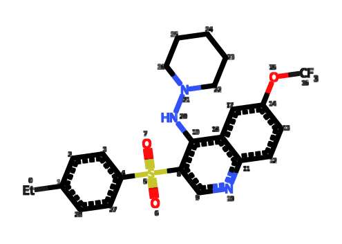 CCc1ccc(S(=O)(=O)c2cnc3ccc(OC(F)(F)F)cc3c2NN2CCCCC2)cc1